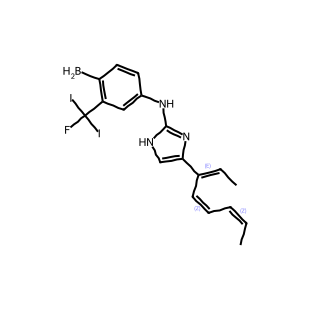 Bc1ccc(Nc2nc(C(/C=C\C=C/C)=C/C)c[nH]2)cc1C(F)(I)I